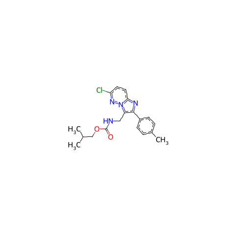 Cc1ccc(-c2nc3ccc(Cl)nn3c2CNC(=O)OCC(C)C)cc1